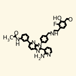 CC(=O)Nc1cccc(-c2ccc3nc(-c4cccnc4N)n(-c4ccc(CNCCc5ccc(C=O)c(O)c5F)cc4)c3n2)c1